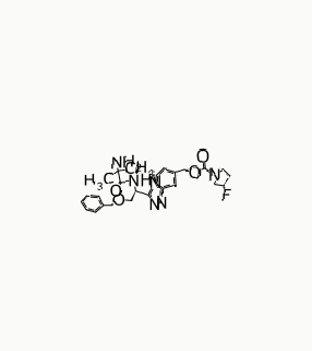 CC(C)(N)C(=O)N[C@H](COCc1ccccc1)c1nnc2cc(COC(=O)N3CC[C@@H](F)C3)ccn12